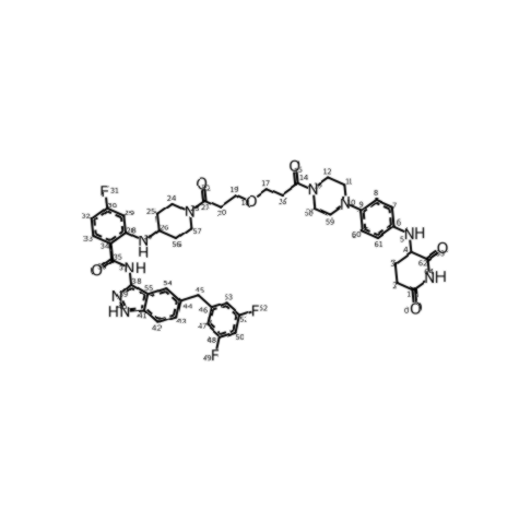 O=C1CCC(Nc2ccc(N3CCN(C(=O)CCOCCC(=O)N4CCC(Nc5cc(F)ccc5C(=O)Nc5n[nH]c6ccc(Cc7cc(F)cc(F)c7)cc56)CC4)CC3)cc2)C(=O)N1